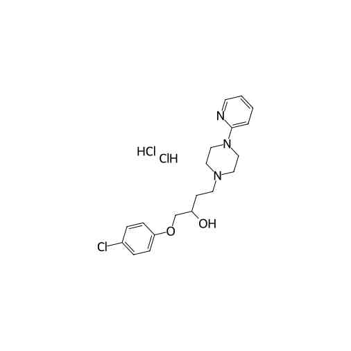 Cl.Cl.OC(CCN1CCN(c2ccccn2)CC1)COc1ccc(Cl)cc1